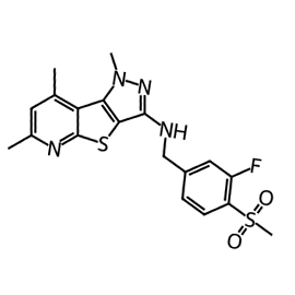 Cc1cc(C)c2c(n1)sc1c(NCc3ccc(S(C)(=O)=O)c(F)c3)nn(C)c12